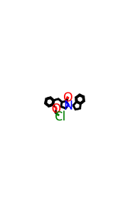 O=C1C(Cc2ccccc2OCCl)CCN1C1CCc2ccccc21